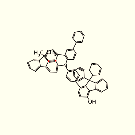 CC1(C)c2ccccc2-c2ccc(N(c3ccc(-c4ccc(O)c5c4C(c4c#cccc4)(C4C=CC=CC4)c4ccccc4-5)cc3)c3ccc(-c4ccccc4)cc3-c3ccccc3)cc21